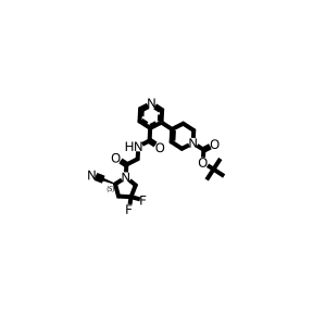 CC(C)(C)OC(=O)N1CC=C(c2cnccc2C(=O)NCC(=O)N2CC(F)(F)C[C@H]2C#N)CC1